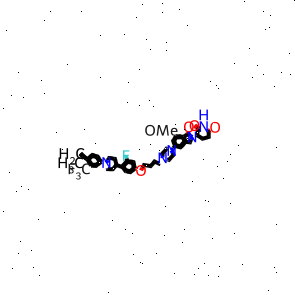 C=C(C)c1ccc(N2CCC(c3ccc(OCCCCN4CCN(c5cc6c(c(OC)c5)C(=O)N(C5CCC(=O)NC5=O)C6)CC4)cc3F)CC2)cc1C(F)(F)F